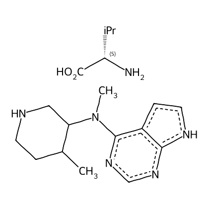 CC(C)[C@H](N)C(=O)O.CC1CCNCC1N(C)c1ncnc2[nH]ccc12